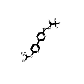 CC(C)C(Oc1ccc(-c2cnc(NNC(=O)C(F)(F)Br)cn2)cn1)C(F)(F)F